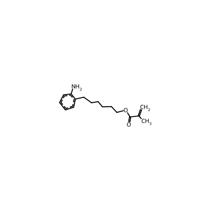 C=C(C)C(=O)OCCCCCCc1ccccc1N